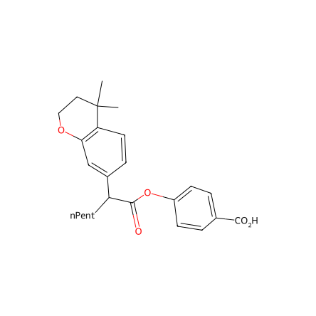 CCCCCC(C(=O)Oc1ccc(C(=O)O)cc1)c1ccc2c(c1)OCCC2(C)C